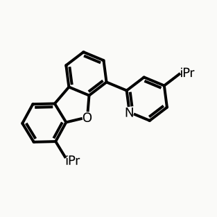 CC(C)c1ccnc(-c2cccc3c2oc2c(C(C)C)cccc23)c1